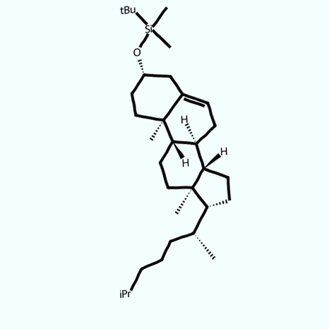 CC(C)CCC[C@@H](C)[C@H]1CC[C@H]2[C@@H]3CC=C4C[C@@H](O[Si](C)(C)C(C)(C)C)CC[C@]4(C)[C@H]3CC[C@]12C